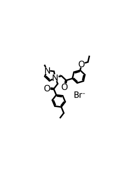 CCOc1cccc(C(=O)C[N+]2(CC(=O)c3ccc(CC)cc3)C=CN(C)C2)c1.[Br-]